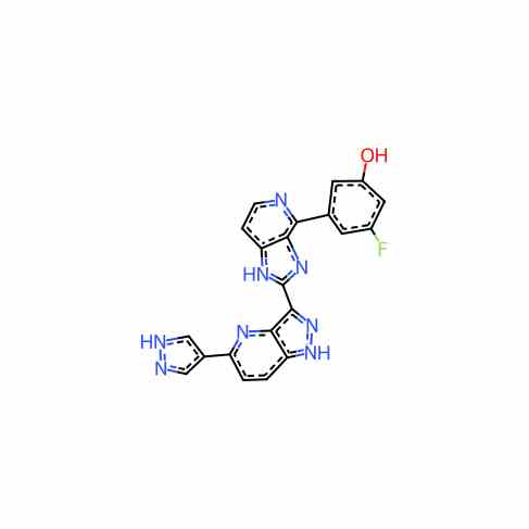 Oc1cc(F)cc(-c2nccc3[nH]c(-c4n[nH]c5ccc(-c6cn[nH]c6)nc45)nc23)c1